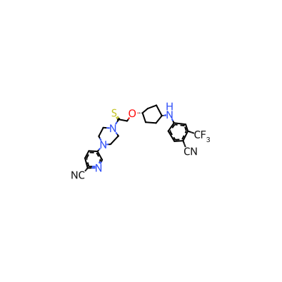 N#Cc1ccc(N2CCN(C(=S)CO[C@H]3CC[C@H](Nc4ccc(C#N)c(C(F)(F)F)c4)CC3)CC2)cn1